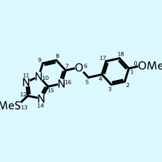 COc1ccc(COc2ccn3nc(SC)nc3n2)cc1